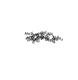 CSCC[C@H](NC(=O)[C@H](CC(C)C)NC(=O)CNC(=O)[C@H](Cc1ccccc1)NC(=O)[C@H](CCC(N)=O)NC(=O)[C@H](CCC(N)=O)NC(=O)[C@@H]1CCCN1C(=O)[C@H](CCCCN)NC(=O)[C@@H]1CCCN1C(=O)[C@@H](N)CCCNC(=N)N)C(N)=O